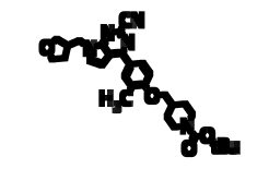 Cc1cc(-c2nc(C#N)nc3c2ccn3CC2CCOC2)ccc1OCC1CCN(C(=O)OC(C)(C)C)CC1